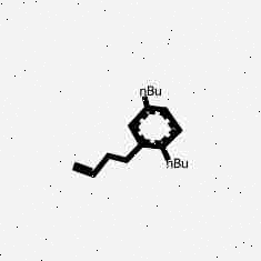 C=CCCc1cc(CCCC)ccc1CCCC